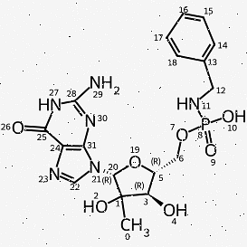 CC1(O)[C@H](O)[C@@H](COP(=O)(O)NCc2ccccc2)O[C@H]1n1cnc2c(=O)[nH]c(N)nc21